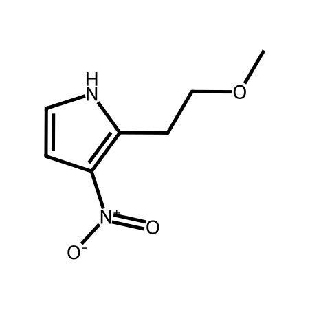 COCCc1[nH]ccc1[N+](=O)[O-]